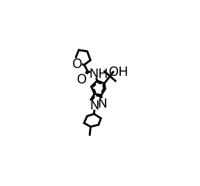 CC1CCC(n2cc3cc(NC(=O)C4CCCCO4)c(C(C)(C)O)cc3n2)CC1